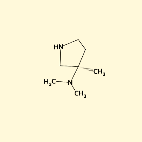 CN(C)[C@]1(C)CCNC1